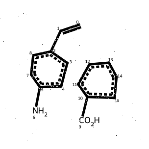 C=Cc1ccc(N)cc1.O=C(O)c1ccccc1